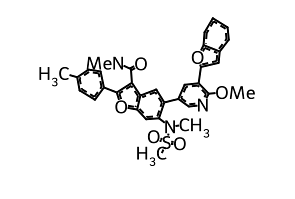 CNC(=O)c1c(-c2ccc(C)cc2)oc2cc(N(C)S(C)(=O)=O)c(-c3cnc(OC)c(-c4cc5ccccc5o4)c3)cc12